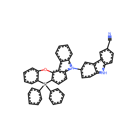 N#Cc1ccc2[nH]c3ccc(-n4c5ccccc5c5c6c(ccc54)[Si](c4ccccc4)(c4ccccc4)c4ccccc4O6)cc3c2c1